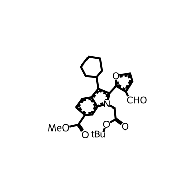 COC(=O)c1ccc2c(C3CCCCC3)c(-c3occc3C=O)n(CC(=O)OC(C)(C)C)c2c1